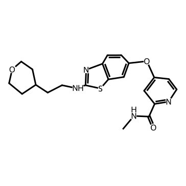 CNC(=O)c1cc(Oc2ccc3nc(NCCC4CCOCC4)sc3c2)ccn1